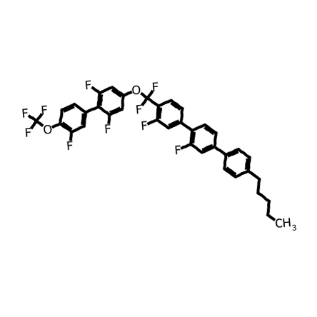 CCCCCc1ccc(-c2ccc(-c3ccc(C(F)(F)Oc4cc(F)c(-c5ccc(OC(F)(F)F)c(F)c5)c(F)c4)c(F)c3)c(F)c2)cc1